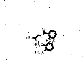 CCCCC(CC)COC(=O)c1ccccc1C(=O)O.O=C(O)c1ccccc1C(=O)O